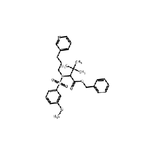 COc1cccc(S(=O)(=O)N(CCCc2cccnc2)C(C(=O)OCc2ccccc2)C(C)(C)C)c1